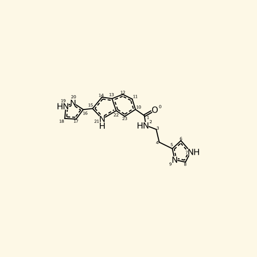 O=C(NCCc1c[nH]cn1)c1ccc2cc(-c3cc[nH]n3)[nH]c2c1